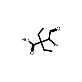 CCC(CC)(C(=O)O)C(Br)C=O